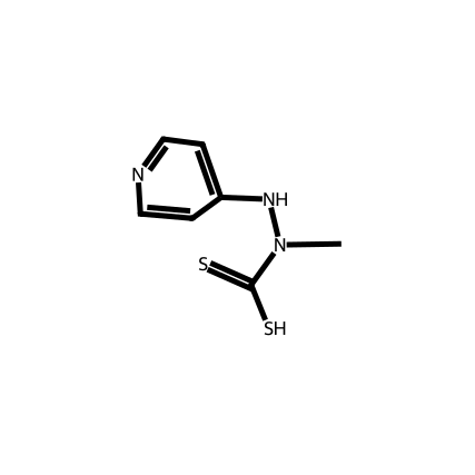 CN(Nc1ccncc1)C(=S)S